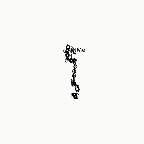 C=C[C@H](NC)C(=O)N[C@H](C(=O)N1CCN(C(=O)c2ccc3c(c2)cc(C)n3CCOCCOCCOCCOc2cc(CN3CCC(Oc4ccnc5ccsc45)CC3)on2)CC1)C1CCCCC1